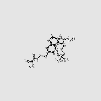 CCOCc1nc2cnc3cc(OCCNC(=O)OC(C)(C)C)ccc3c2n1CC1COC(C)(C)O1